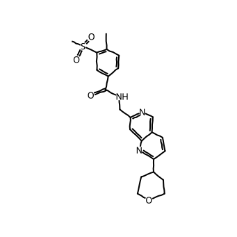 Cc1ccc(C(=O)NCc2cc3nc(C4CCOCC4)ccc3cn2)cc1S(C)(=O)=O